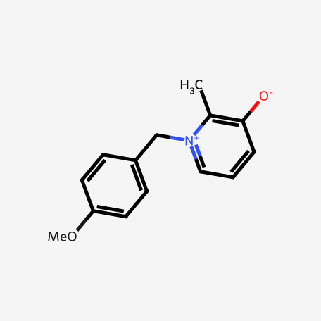 COc1ccc(C[n+]2cccc([O-])c2C)cc1